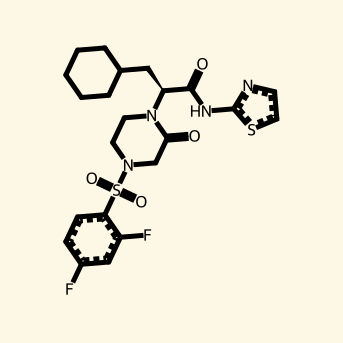 O=C(Nc1nccs1)[C@H](CC1CCCCC1)N1CCN(S(=O)(=O)c2ccc(F)cc2F)CC1=O